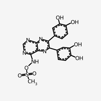 CS(=O)(=O)ONc1ncnc2nc(-c3ccc(O)c(O)c3)c(-c3ccc(O)c(O)c3)nc12